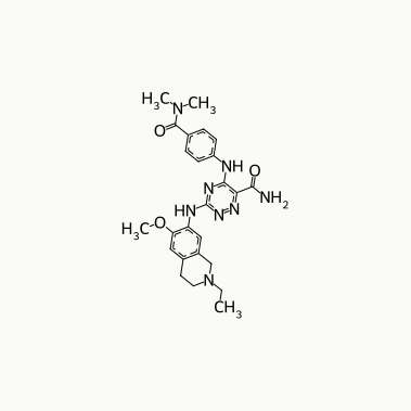 CCN1CCc2cc(OC)c(Nc3nnc(C(N)=O)c(Nc4ccc(C(=O)N(C)C)cc4)n3)cc2C1